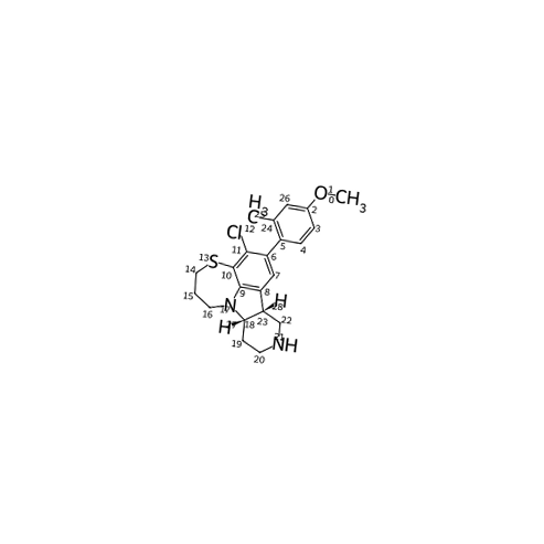 COc1ccc(-c2cc3c4c(c2Cl)SCCCN4[C@H]2CCNC[C@@H]32)c(C)c1